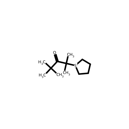 CC(C)(C)C(=O)C(C)(C)[S+]1CCCC1